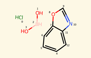 Cl.OBO.c1ccc2ocnc2c1